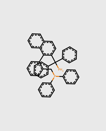 PC(c1ccccc1)(c1ccccc1)c1ccc2ccccc2c1-c1ccccc1CP(c1ccccc1)c1ccccc1